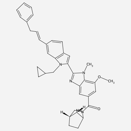 COc1cc(C(=O)N2C[C@H]3CCC2[C@H]3N)cc2nc(-c3cc4ccc(/C=C/Cc5ccccc5)cc4n3CC3CC3)n(C)c12